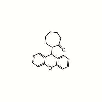 O=C1CCCCCC1C1c2ccccc2Oc2ccccc21